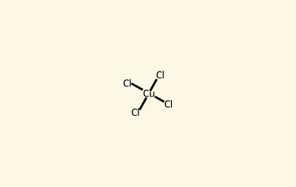 [Cl][Cu]([Cl])([Cl])[Cl]